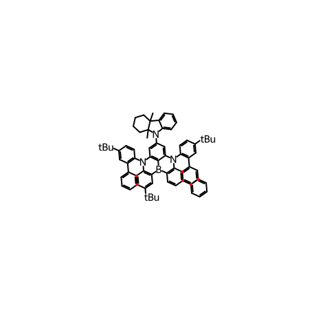 CC(C)(C)c1ccc2c(c1)B1c3ccc(-c4ccccc4)cc3N(c3ccc(C(C)(C)C)cc3-c3ccccc3)c3cc(N4c5ccccc5C5(C)CCCCC45C)cc(c31)N2c1ccc(C(C)(C)C)cc1-c1ccccc1